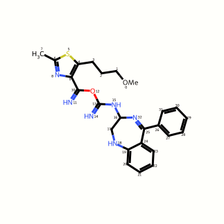 COCCCc1sc(C)nc1C(=N)OC(=N)NC1CNc2ccccc2C(c2ccccc2)=N1